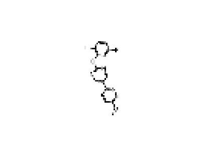 COc1ccc(-c2cnc(Oc3cc(F)ccc3F)nc2)nn1